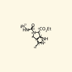 CCOC(=O)C1c2[nH]nc(I)c2CN1C(=O)NC(C)C